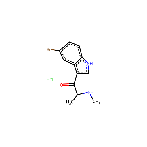 CNC(C)C(=O)c1c[nH]c2ccc(Br)cc12.Cl